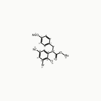 COc1ccc(CN(C(=O)OC(C)(C)C)c2cc(C#N)cc(Br)c2Cl)cc1